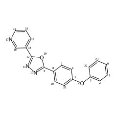 c1ccc(Oc2ccc(-c3nnc(-c4cccnc4)o3)cc2)cc1